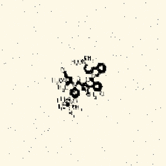 Cc1c(N(C(=O)c2cc(-c3cc(Cl)ccc3C(=O)N3Cc4ccccc4CC3CCCN(C)C)n(C)c2C)c2ccc(O[Si](C)(C)C(C)(C)C)cc2)cc(C#N)n1C